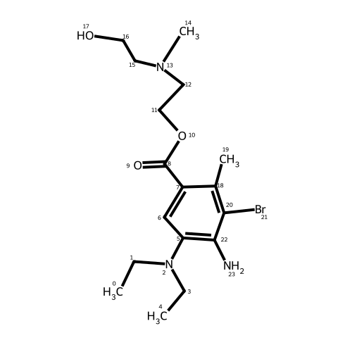 CCN(CC)c1cc(C(=O)OCCN(C)CCO)c(C)c(Br)c1N